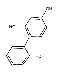 Oc1ccc(-c2ccccc2O)c(O)c1